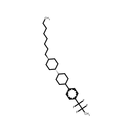 CCCCCCCC[C@H]1CC[C@H](C2CCC(c3ccc(C(F)(F)C(C)(F)F)cc3)CC2)CC1